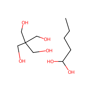 CCCCC(O)O.OCC(CO)(CO)CO